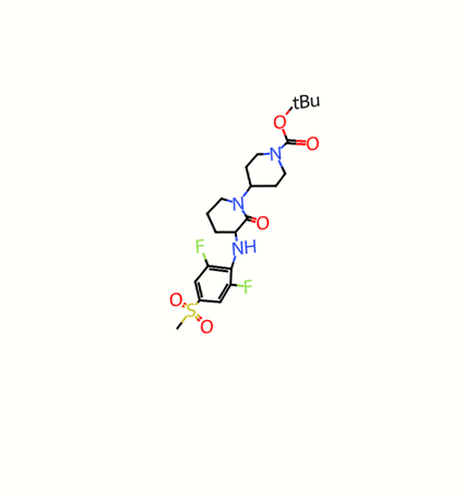 CC(C)(C)OC(=O)N1CCC(N2CCCC(Nc3c(F)cc(S(C)(=O)=O)cc3F)C2=O)CC1